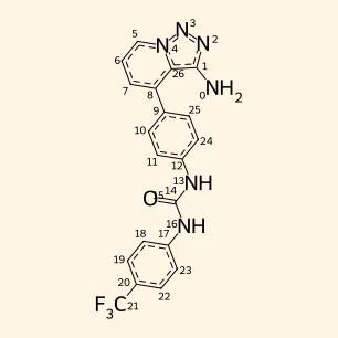 Nc1nnn2cccc(-c3ccc(NC(=O)Nc4ccc(C(F)(F)F)cc4)cc3)c12